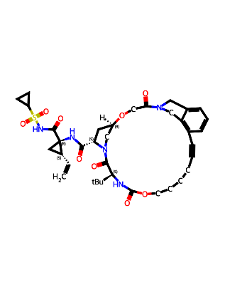 C=C[C@@H]1C[C@]1(NC(=O)[C@@H]1C[C@@H]2CN1C(=O)[C@H](C(C)(C)C)NC(=O)OCCCCC#Cc1cccc3c1CN(C3)C(=O)CO2)C(=O)NS(=O)(=O)C1CC1